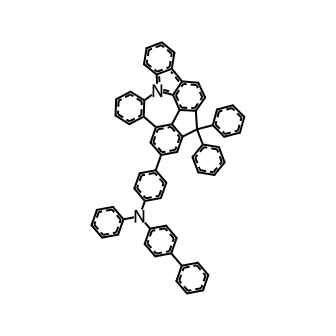 c1ccc(-c2ccc(N(c3ccccc3)c3ccc(-c4cc5c6c(c4)C(c4ccccc4)(c4ccccc4)c4ccc7c8ccccc8n(c7c4-6)-c4ccccc4-5)cc3)cc2)cc1